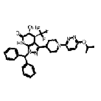 CC(C)Oc1ccc(N2CCC(c3nn(C(c4ccccc4)c4ccccc4)c4c3[C@H](C(F)(F)F)[C@H](O)C(=O)N4)CC2)nn1